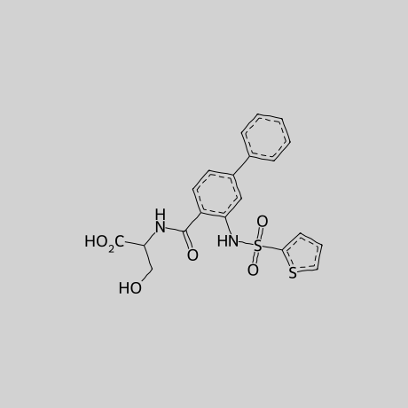 O=C(NC(CO)C(=O)O)c1ccc(-c2ccccc2)cc1NS(=O)(=O)c1cccs1